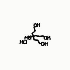 CNC(CCCO)(CCCO)CCCO.Cl